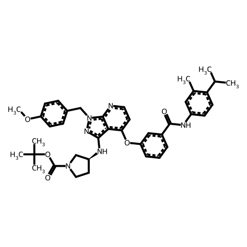 COc1ccc(Cn2nc(N[C@H]3CCN(C(=O)OC(C)(C)C)C3)c3c(Oc4cccc(C(=O)Nc5ccc(C(C)C)c(C)c5)c4)ccnc32)cc1